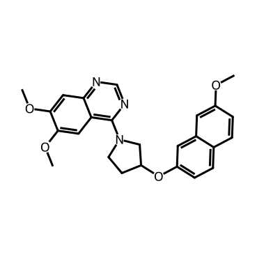 COc1ccc2ccc(OC3CCN(c4ncnc5cc(OC)c(OC)cc45)C3)cc2c1